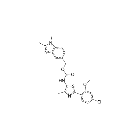 CCc1nc2cc(COC(=O)Nc3sc(-c4ccc(Cl)cc4OC)nc3C)ccc2n1C